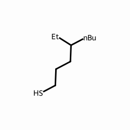 CCCCC(CC)CCCS